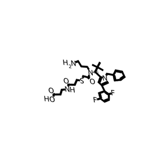 CC(C)(C)[C@H](c1cc(-c2cc(F)ccc2F)cn1Cc1ccccc1)N(CCCN)C(=O)CSCCC(=O)NCCC(=O)O